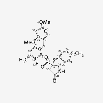 COc1ccc(Cc2ccc(C)c(F)c2OC(=O)C2(Sc3ccc(C)cc3)CNC(=O)C2)c(OC)c1